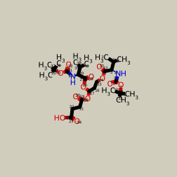 CC(C)[C@H](NC(=O)OC(C)(C)C)C(=O)OCCC(OC(=O)CCC(=O)O)OC(=O)[C@@H](NC(=O)OC(C)(C)C)C(C)C